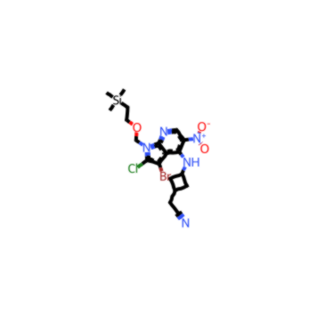 C[Si](C)(C)CCOCn1c(Cl)c(Br)c2c(NC3CC(CC#N)C3)c([N+](=O)[O-])cnc21